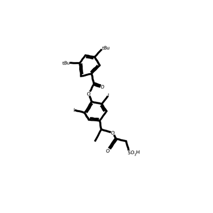 CC(OC(=O)CS(=O)(=O)O)c1cc(I)c(OC(=O)c2cc(C(C)(C)C)cc(C(C)(C)C)c2)c(I)c1